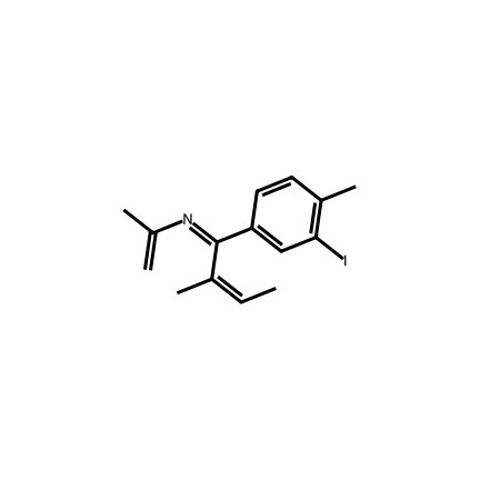 C=C(C)/N=C(\C(C)=C/C)c1ccc(C)c(I)c1